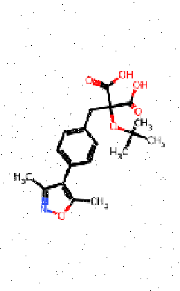 Cc1noc(C)c1-c1ccc(CC(OC(C)(C)C)(C(=O)O)C(=O)O)cc1